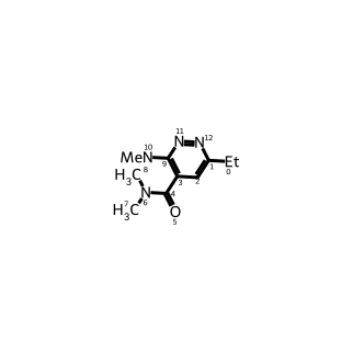 CCc1cc(C(=O)N(C)C)c(NC)nn1